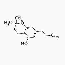 CCCc1cc(O)c2c(c1)OC(C)(C)CC2